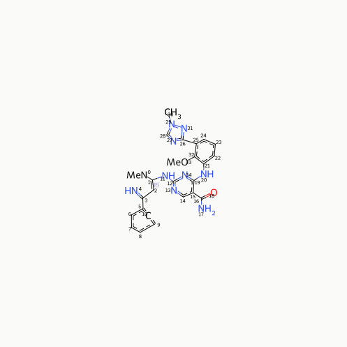 CN/C(=C\C(=N)c1ccccc1)Nc1ncc(C(N)=O)c(Nc2cccc(-c3ncn(C)n3)c2OC)n1